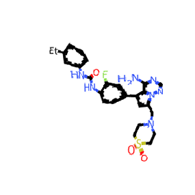 CCc1cccc(NC(=O)Nc2ccc(-c3cc(CN4CCS(=O)(=O)CC4)n4ncnc(N)c34)cc2F)c1